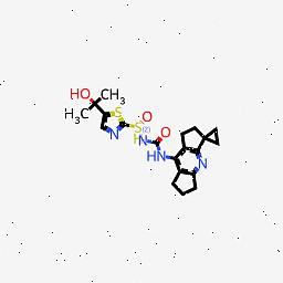 CC(C)(O)c1cnc(/[SH](=O)=N/C(=O)Nc2c3c(nc4c2CCC42CC2)CCC3)s1